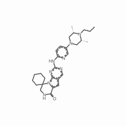 CCCN1[C@H](C)CN(c2ccc(Nc3ncc4cc5n(c4n3)C3(CCCCC3)CNC5=O)nc2)C[C@@H]1C